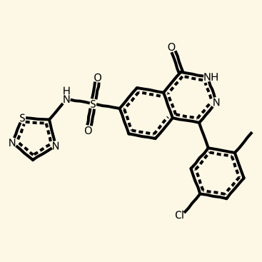 Cc1ccc(Cl)cc1-c1n[nH]c(=O)c2cc(S(=O)(=O)Nc3ncns3)ccc12